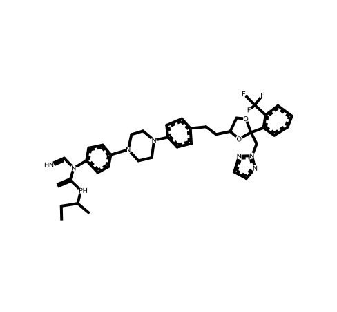 C=C(PC(C)CC)N(C=N)c1ccc(N2CCN(c3ccc(CCC4COC(Cn5nccn5)(c5ccccc5C(F)(F)F)O4)cc3)CC2)cc1